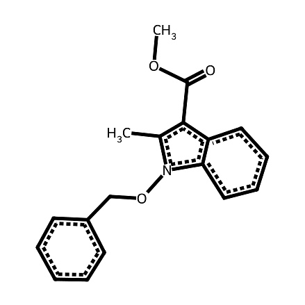 COC(=O)c1c(C)n(OCc2ccccc2)c2ccccc12